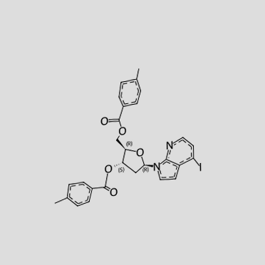 Cc1ccc(C(=O)OC[C@H]2O[C@@H](n3ccc4c(I)ccnc43)C[C@@H]2OC(=O)c2ccc(C)cc2)cc1